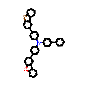 c1ccc(-c2ccc(N(c3ccc(-c4ccc5oc6ccccc6c5c4)cc3)c3ccc(-c4ccc5sc6ccccc6c5c4)cc3)cc2)cc1